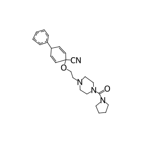 N#CC1(OCCN2CCN(C(=O)N3CCCC3)CC2)C=CC(c2ccccc2)C=C1